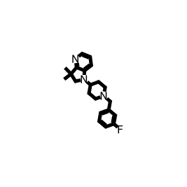 CC1(C)CN(C2CCN(Cc3cccc(F)c3)CC2)c2cccnc21